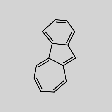 [c]1c2cccccc-2c2ccccc12